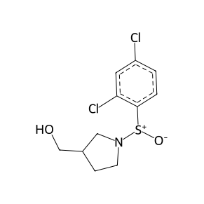 [O-][S+](c1ccc(Cl)cc1Cl)N1CCC(CO)C1